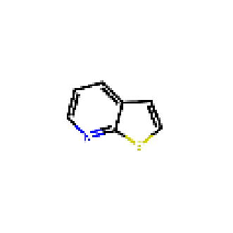 [c]1cc2cccnc2s1